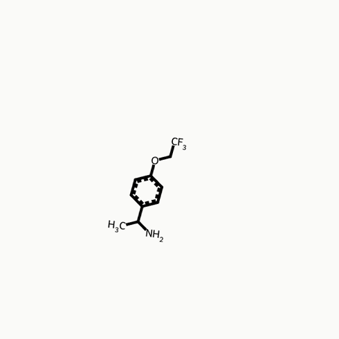 CC(N)c1ccc(OCC(F)(F)F)cc1